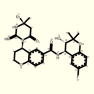 CC[C@@]1(C)CC(=O)N([C@@H]2CCOc3ccc(C(=O)N[C@@H]4c5cc(F)ccc5OC(C)(C)[C@H]4O)cc32)C(=N)N1